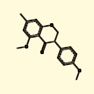 COc1ccc(C2COc3cc(C)cc(OC)c3C2=O)cc1